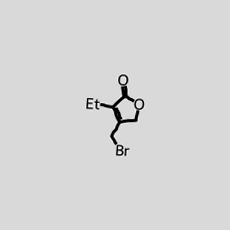 CCC1=C(CBr)COC1=O